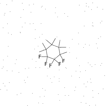 CC1(C)C(C)(C)C(C)(F)C(F)(F)C(F)(F)C1(C)C